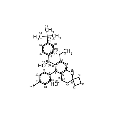 CC(C)c1cc2c(c(-c3ccc(F)cc3)c1[C@@H](O)c1ccc(C(C)(C)C)cc1)[C@@H](O)CC1(CCC1)O2